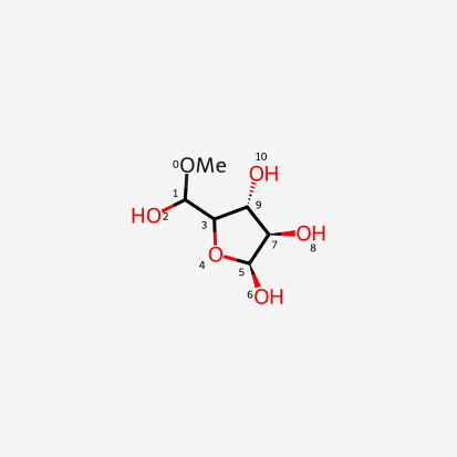 COC(O)C1O[C@H](O)[C@H](O)[C@H]1O